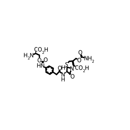 NC(=O)OCC1=C(C(=O)O)N2C(=O)[C@@H](NC(=O)Cc3ccc(NC(=O)OC[C@@H](N)C(=O)O)cc3)[C@H]2SC1